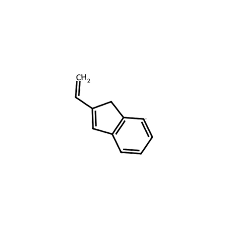 C=CC1=Cc2ccc[c]c2C1